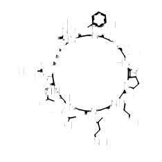 CCCC[C@@H]1NC(=O)[C@H](CCCCN)NC(=O)[C@H](CC(C)C)NC(=O)[C@H](CC(C)C)NC(=O)[C@@H](NC(C)=O)CSSC[C@@H](C(N)=O)NC(=O)[C@H](Cc2ccccc2)NC(=O)[C@H](C)NC(=O)[C@H](C)NC(=O)[C@@H]2CCCN2C1=O